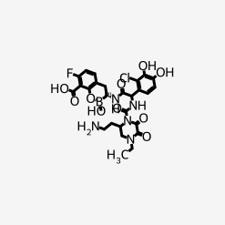 CCN1CC(CCN)N(C(=O)NC(C(=O)N[C@H]2Cc3ccc(F)c(C(=O)O)c3OB2O)c2ccc(O)c(O)c2Cl)C(=O)C1=O